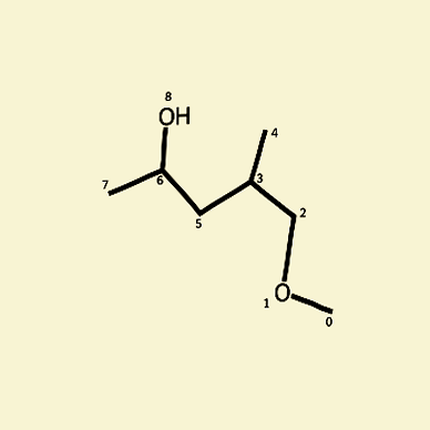 COCC(C)CC(C)O